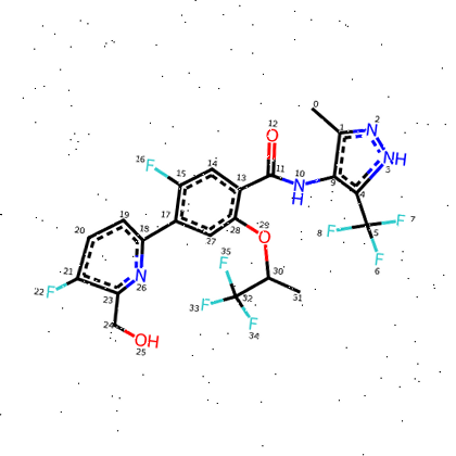 Cc1n[nH]c(C(F)(F)F)c1NC(=O)c1cc(F)c(-c2ccc(F)c(CO)n2)cc1OC(C)C(F)(F)F